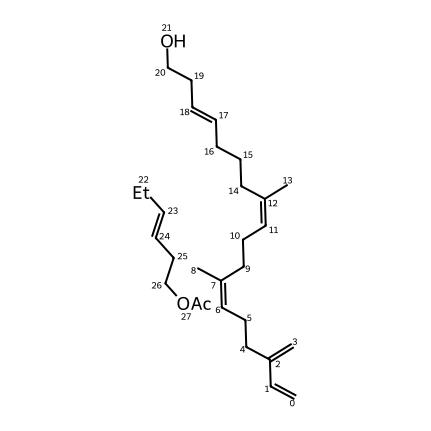 C=CC(=C)CCC=C(C)CCC=C(C)CCCC=CCCO.CC/C=C/CCOC(C)=O